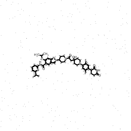 CC(C)Oc1cc2nn(C3CCN(C(=O)CC4(O)CCN(c5cc(F)c(C6CCC(=O)NC6=O)cc5F)CC4)CC3)cc2cc1C(=O)Nc1cccc(C(F)F)n1